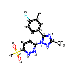 Cc1cc(-c2nc(C(F)(F)F)nn2-c2ccc(S(C)(=O)=O)nn2)ccc1F